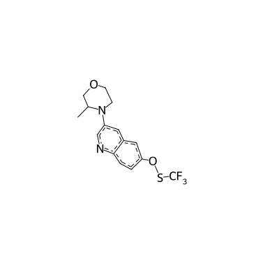 CC1COCCN1c1cnc2ccc(OSC(F)(F)F)cc2c1